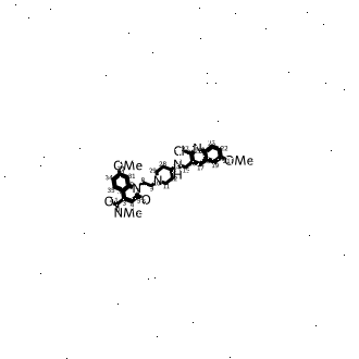 CNC(=O)c1cc(=O)n(CCN2CCC(NCc3cc4cc(OC)ccc4nc3Cl)CC2)c2cc(OC)ccc12